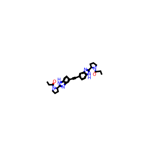 CCC(=O)N1CCCC1c1nc2cc(C#Cc3ccc4[nH]c(C5CCCN5C(=O)CC)nc4c3)ccc2[nH]1